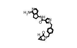 Nc1nccc2c1CCC2NC(=O)c1cnn(Cc2ccc(CN3CC4C[C@@H]4C3=O)cc2)c1